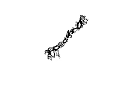 O=S(=O)(c1ccc(OC(F)(F)F)cc1)C1CCN(c2nc(Cc3ccc(Cl)c(Cl)c3)cs2)CC1